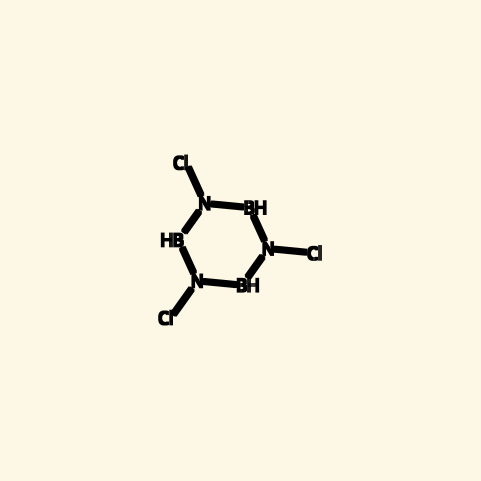 ClN1BN(Cl)BN(Cl)B1